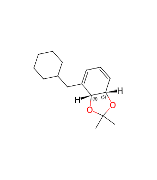 CC1(C)O[C@H]2C=CC=C(CC3CCCCC3)[C@H]2O1